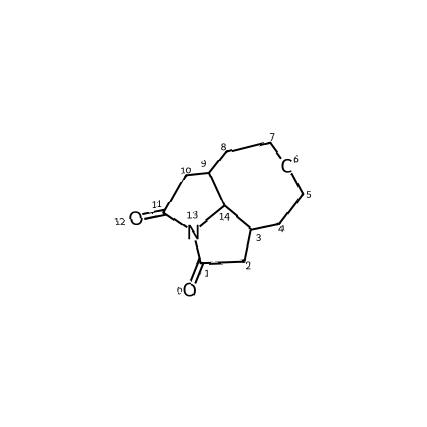 O=C1CC2CCCCCC3CC(=O)N1C23